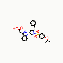 CC(C)Oc1ccc(S(=O)(=O)N2C[C@H](n3nc(CC(=O)O)c4ccccc43)C[C@@H]2Cc2ccccc2)cc1